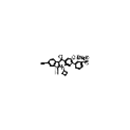 C#Cc1ccc2c(c1)[nH]c1c2c(=O)c2cc(OCC(C)C)c(-c3cccc(S(=O)(=O)F)c3)cc2n1C1CCC1